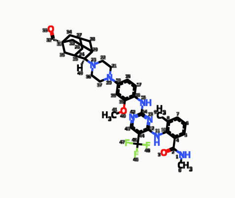 CNC(=O)c1cccc(C)c1Nc1nc(Nc2ccc(N3CCN([C@H]4C5CC6CC4C[C@](C=O)(C6)C5)CC3)cc2OC)ncc1C(F)(F)F